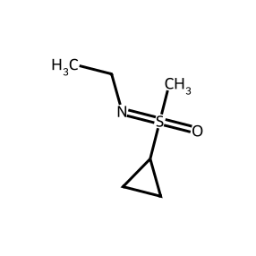 CCN=S(C)(=O)C1CC1